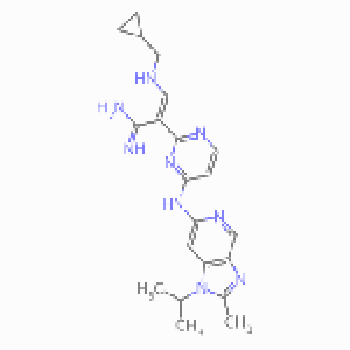 Cc1nc2cnc(Nc3ccnc(/C(=C/NCC4CC4)C(=N)N)n3)cc2n1C(C)C